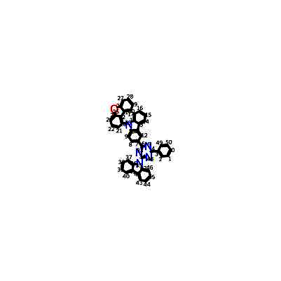 c1ccc(-c2nc(-c3ccc4c(c3)c3ccccc3n4-c3cccc4oc5ccccc5c34)nc(-n3c4ccccc4c4ccccc43)n2)cc1